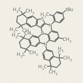 Cc1cc2c3c(c1)N(c1ccc(C(C)(C)C)cc1C)c1sc4cc5c(cc4c1B3c1cc3c(cc1N2c1ccc2c(c1)C(C)(C)CCC2(C)C)C(C)(C)CCC3(C)C)C(C)(C)CCC5(C)C